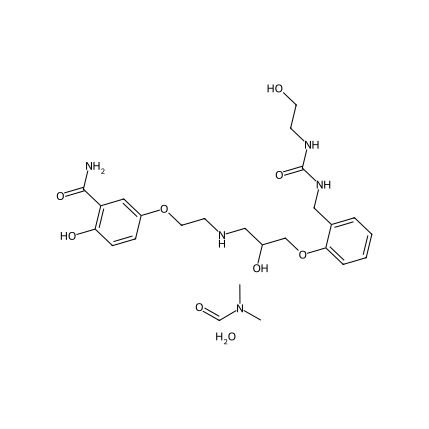 CN(C)C=O.NC(=O)c1cc(OCCNCC(O)COc2ccccc2CNC(=O)NCCO)ccc1O.O